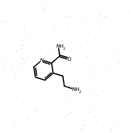 NCCc1cccnc1C(N)=O